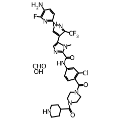 Cn1c(-c2cn(-c3ccc(N)c(F)n3)nc2C(F)(F)F)cnc1C(=O)Nc1ccc(C(=O)N2CCN(C(=O)C3CCNCC3)CC2)c(Cl)c1.O=CO